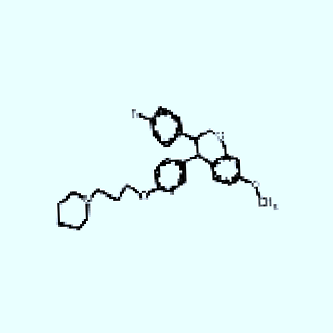 COc1ccc2c(c1)OCC(c1ccc(F)cc1)C2c1ccc(OCCCN2CCCCC2)cc1